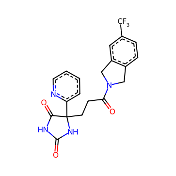 O=C1NC(=O)C(CCC(=O)N2Cc3ccc(C(F)(F)F)cc3C2)(c2ccccn2)N1